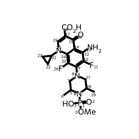 COP(=O)(O)N1C(C)CN(c2c(F)c(N)c3c(=O)c(C(=O)O)cn(C4CC4)c3c2F)CC1C